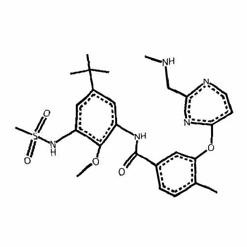 CNCc1nccc(Oc2cc(C(=O)Nc3cc(C(C)(C)C)cc(NS(C)(=O)=O)c3OC)ccc2C)n1